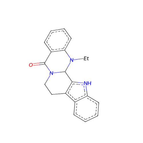 CCN1c2ccccc2C(=O)N2CCc3c([nH]c4ccccc34)C21